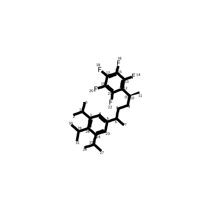 CC(C)c1cc(C(C)CC[C@H](C)c2c(F)c(F)c(F)c(F)c2F)cc(C(C)C)c1C(C)C